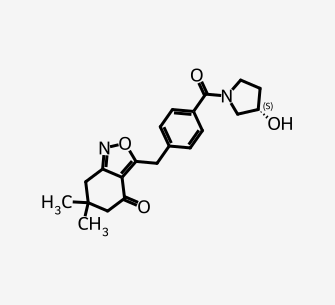 CC1(C)CC(=O)c2c(noc2Cc2ccc(C(=O)N3CC[C@H](O)C3)cc2)C1